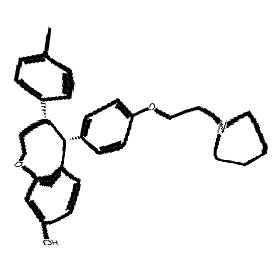 Cc1ccc([C@H]2COc3cc(O)ccc3[C@H]2c2ccc(OCCN3CCCC3)cc2)cc1